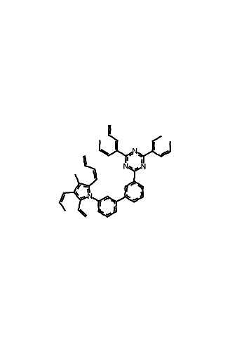 C=C/C=C\c1c(C)c(/C=C\C)c(C=C)n1-c1cccc(-c2cccc(-c3nc(C(/C=C\C)=C/C)nc(C(/C=C\C)=C/C=C)n3)c2)c1